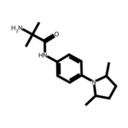 CC1CCC(C)N1c1ccc(NC(=O)C(C)(C)N)cc1